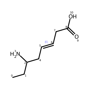 CCC(N)C/C=C/CC(=O)O